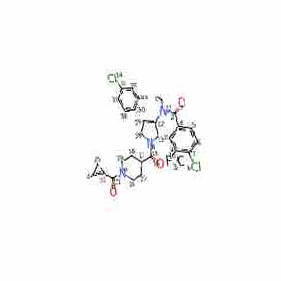 CN(C(=O)c1ccc(Cl)c(C(F)(F)F)c1)[C@H]1CN(C(=O)C2CCN(C(=O)C3=CC3)CC2)C[C@@H]1c1ccc(Cl)cc1